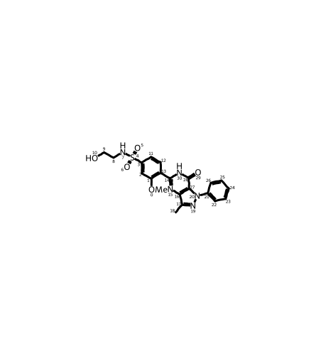 COc1cc(S(=O)(=O)NCCO)ccc1-c1nc2c(C)nn(-c3ccccc3)c2c(=O)[nH]1